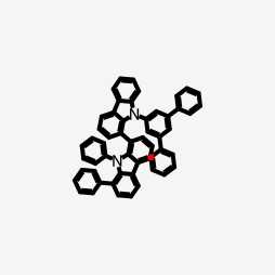 c1ccc(-c2cc(-c3ccccc3)cc(-n3c4ccccc4c4cccc(-c5cccc6c7cccc(-c8ccccc8)c7n(-c7ccccc7)c56)c43)c2)cc1